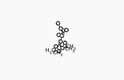 CC1(C)c2ccccc2-c2c(N(c3ccc(-c4ccc(-n5c6ccccc6c6cc(-c7ccccc7)ccc65)c5ccccc45)cc3)c3cccc4c3-c3ccccc3C4(C)C)cccc21